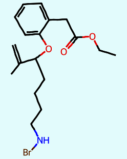 C=C(C)C(CCCCNBr)Oc1ccccc1CC(=O)OCC